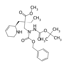 CC[C@@](C[C@@H]1C=CCCN1)(CN(NC(=O)OC(C)(C)C)C(=O)OCc1ccccc1)C(=O)OC